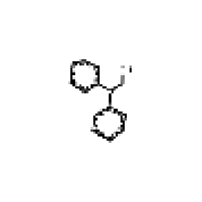 OCN(c1ccccc1)c1ccccc1